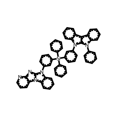 c1ccc(-n2c3ccccc3c3c4ccccc4n(-c4cccc([Si](c5ccccc5)(c5ccccc5)c5cccc(-n6c7ccccc7n7c8cccnc8nc67)c5)c4)c32)cc1